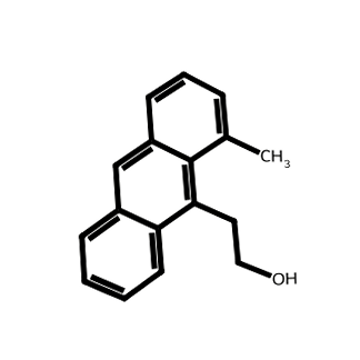 Cc1cccc2cc3ccccc3c(CCO)c12